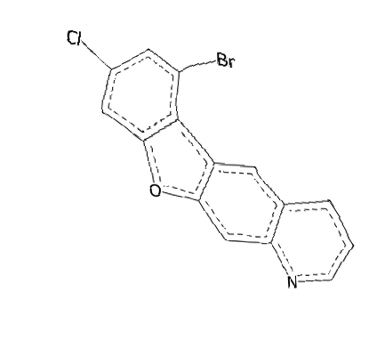 Clc1cc(Br)c2c(c1)oc1cc3ncccc3cc12